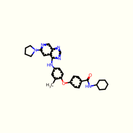 Cc1cc(Nc2ncnc3cnc(N4CCCC4)cc23)ccc1Oc1ccc(C(=O)NC2CCCCC2)cc1